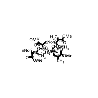 CCCCCCCCCC(C(=O)OC)[SiH](C)O[Si](C)(OO[Si](C)(CC(C)C(=O)OC)O[SiH](C)CC(C)C(=O)OC)C(CCCCCCCCC)C(=O)OC